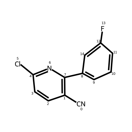 N#Cc1ccc(Cl)nc1-c1cccc(F)c1